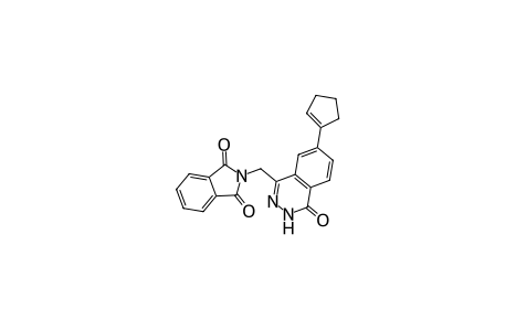 O=C1c2ccccc2C(=O)N1Cc1n[nH]c(=O)c2ccc(C3=CCCC3)cc12